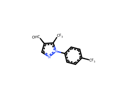 O=Cc1cnn(-c2ccc(C(F)(F)F)cc2)c1C(F)(F)F